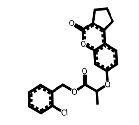 CC(Oc1ccc2c3c(c(=O)oc2c1)CCC3)C(=O)OCc1ccccc1Cl